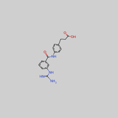 N=C(N)Nc1cccc(C(=O)Nc2ccc(CCC(=O)O)cc2)c1